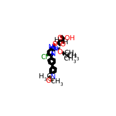 C[Si](C)(C)CCOCn1c(O[C@@H]2CO[C@H]3[C@@H]2OC[C@H]3O)nc2cc(Cl)c(-c3ccc(-c4ccc(N=S(C)(C)=O)cc4)cc3)nc21